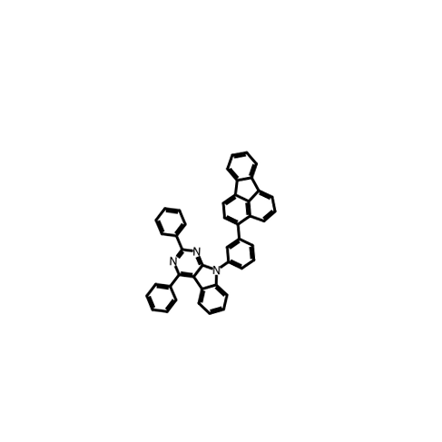 c1ccc(-c2nc(-c3ccccc3)c3c4ccccc4n(-c4cccc(-c5ccc6c7c(cccc57)-c5ccccc5-6)c4)c3n2)cc1